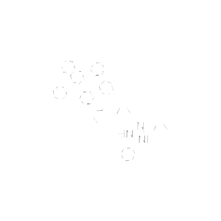 C1=CCCC(C2=NC(C3C=CC=C(C4C=C(c5ccc6c(c5)C(c5ccccc5)(c5ccccc5)c5cc7ccccc7c(-c7ccccc7)c5-6)C=CC4)C3)NC(c3ccccc3)N2)=C1